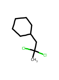 CC(Cl)(Cl)CC1CCCCC1